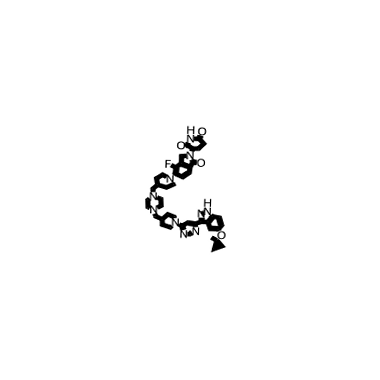 CC1(Oc2ccc3[nH]nc(-c4cc(N5CCC(CN6CCN(CC7CCN(c8ccc9c(c8F)CN(C8CCC(=O)NC8=O)C9=O)CC7)CC6)CC5)ncn4)c3c2)CC1